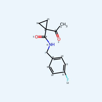 CC(=O)C1(C(=O)NCc2ccc(F)cc2)CC1